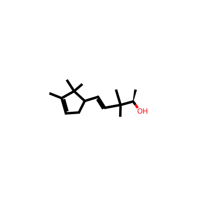 CC1=CCC(/C=C/C(C)(C)[C@@H](C)O)C1(C)C